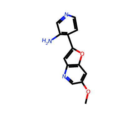 COc1cnc2cc(-c3ccncc3N)oc2c1